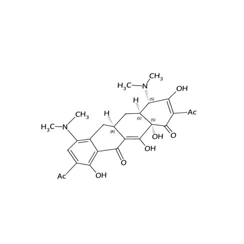 CC(=O)C1=C(O)[C@@H](N(C)C)[C@@H]2C[C@@H]3Cc4c(N(C)C)cc(C(C)=O)c(O)c4C(=O)C3=C(O)[C@]2(O)C1=O